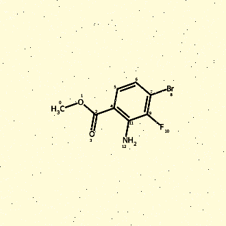 COC(=O)c1ccc(Br)c(F)c1N